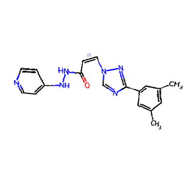 Cc1cc(C)cc(-c2ncn(/C=C\C(=O)NNc3ccncc3)n2)c1